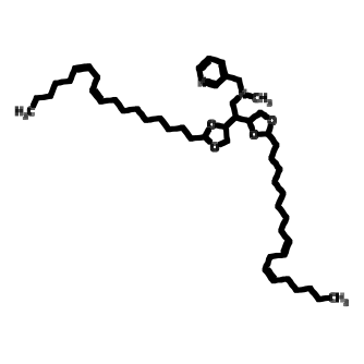 CCCCC/C=C\C/C=C\CCCCCCCCC1OCC(C(CN(C)Cc2cccnc2)C2COC(CCCCCCCC/C=C\C/C=C\CCCCC)O2)O1